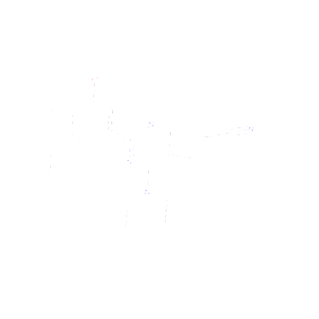 CCN(CC)c1nc(-c2cc(OC)c(OC)c(OC)c2)nc2sc(C#N)c(C)c12